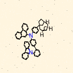 c1ccc(-n2c3ccccc3c3ccccc32)c(-c2ccc(N(c3ccc(C45CC[C@H](C4)C[C@H]4C[C@H](C5)C4)cc3)c3cc4ccccc4c4ccccc34)cc2)c1